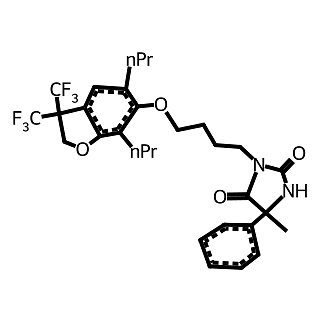 CCCc1cc2c(c(CCC)c1OCCCCN1C(=O)NC(C)(c3ccccc3)C1=O)OCC2(C(F)(F)F)C(F)(F)F